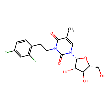 Cc1cn([C@@H]2O[C@H](CO)C(O)[C@@H]2O)c(=O)n(CCc2ccc(F)cc2F)c1=O